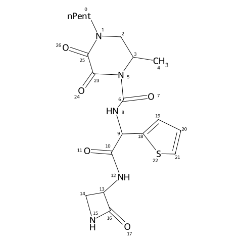 CCCCCN1CC(C)N(C(=O)NC(C(=O)NC2CNC2=O)c2cccs2)C(=O)C1=O